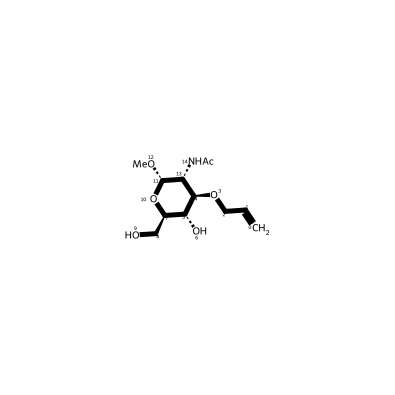 C=CCO[C@H]1[C@H](O)[C@@H](CO)O[C@H](OC)[C@@H]1NC(C)=O